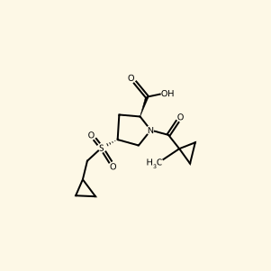 CC1(C(=O)N2C[C@H](S(=O)(=O)CC3CC3)C[C@H]2C(=O)O)CC1